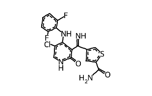 N=C(c1csc(C(N)=O)c1)c1c(Nc2c(F)cccc2F)c(Cl)c[nH]c1=O